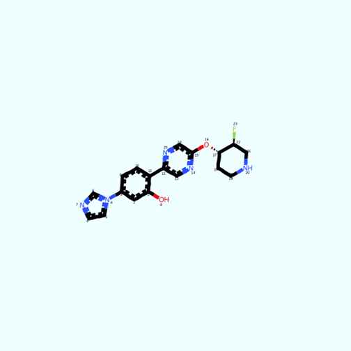 Oc1cc(-n2ccnc2)ccc1-c1cnc(O[C@H]2CCNC[C@@H]2F)cn1